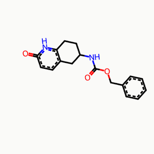 O=C(NC1CCc2[nH]c(=O)ccc2C1)OCc1ccccc1